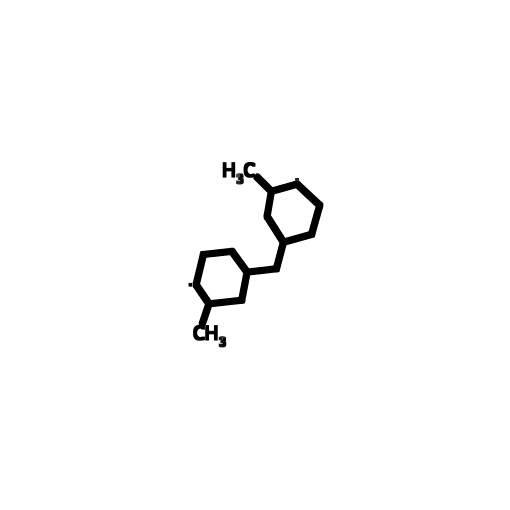 CC1[CH]CCC(CC2CC[CH]C(C)C2)C1